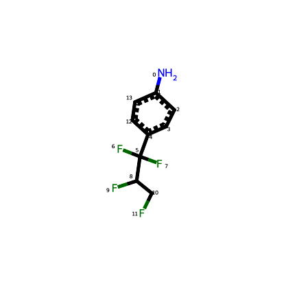 Nc1ccc(C(F)(F)C(F)CF)cc1